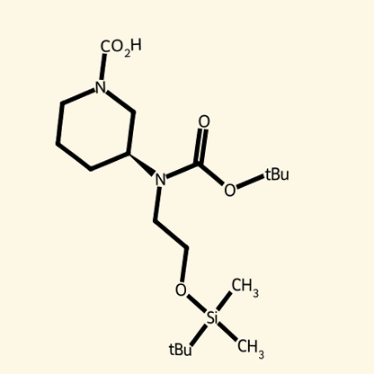 CC(C)(C)OC(=O)N(CCO[Si](C)(C)C(C)(C)C)[C@H]1CCCN(C(=O)O)C1